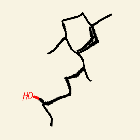 CC1=C=C(C(C)CCC(C)O)C(C)CC1